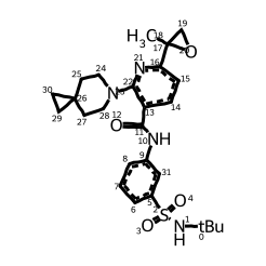 CC(C)(C)NS(=O)(=O)c1cccc(NC(=O)c2ccc(C3(C)CO3)nc2N2CCC3(CC2)CC3)c1